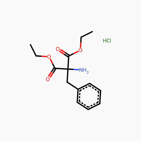 CCOC(=O)C(N)(Cc1ccccc1)C(=O)OCC.Cl